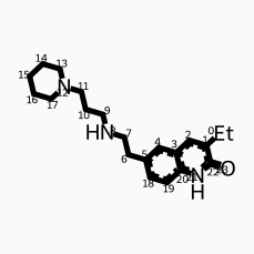 CCc1cc2cc(CCNCCCN3CCCCC3)ccc2[nH]c1=O